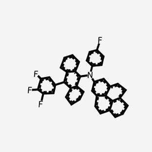 Fc1ccc(N(c2cc3ccc4cccc5ccc(c2)c3c45)c2c3ccccc3c(-c3cc(F)c(F)c(F)c3)c3ccccc23)cc1